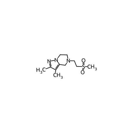 Cc1nn2c(c1C)CN(CCS(C)(=O)=O)CC2